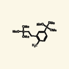 CO[Si](CCc1cc([Si](OC)(OC)OC)ccc1C)(OC)OC